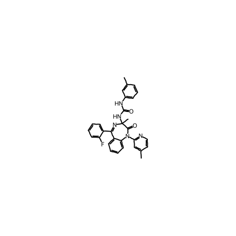 Cc1cccc(NC(=O)NC2(C)N=C(c3ccccc3F)c3ccccc3N(c3cc(C)ccn3)C2=O)c1